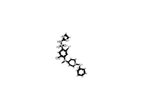 CN(c1cc(F)c(S(=O)(=O)Nc2nccs2)cc1Cl)C1CCN(Sc2ccccc2)CC1